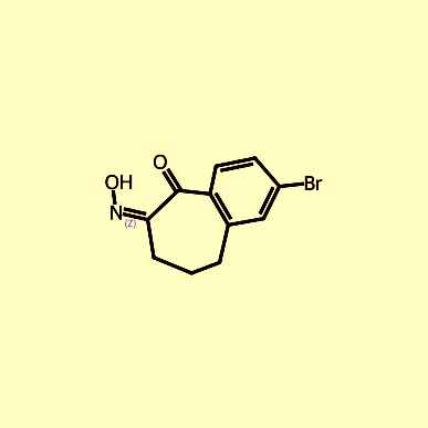 O=C1/C(=N\O)CCCc2cc(Br)ccc21